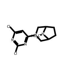 O=C(O)N1C2CCC1CN(c1cc(Cl)nc(Cl)n1)C2